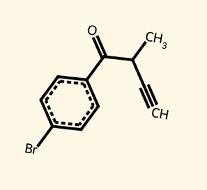 C#CC(C)C(=O)c1ccc(Br)cc1